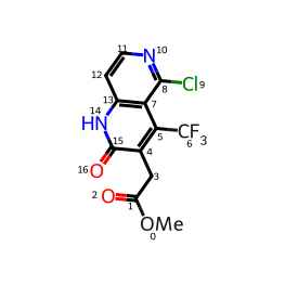 COC(=O)Cc1c(C(F)(F)F)c2c(Cl)nccc2[nH]c1=O